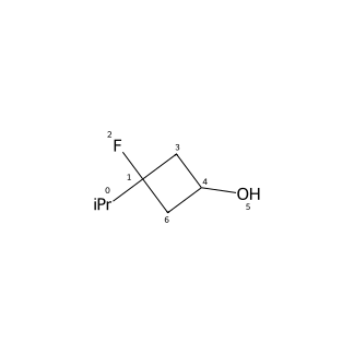 CC(C)C1(F)CC(O)C1